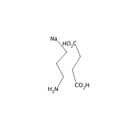 NCC[CH2][Na].O=C(O)CCC(=O)O